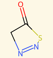 O=C1CN=NS1